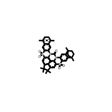 CC12CCC(C)(CC1)c1cc3c(cc12)N1C(=O)N2c4cc5c(cc4S(=O)(=O)c4cc6c7c(cc(c1c7c42)S3(=O)=O)C(C)(C)C6(C)C)C1(C)CCC5(C)CC1